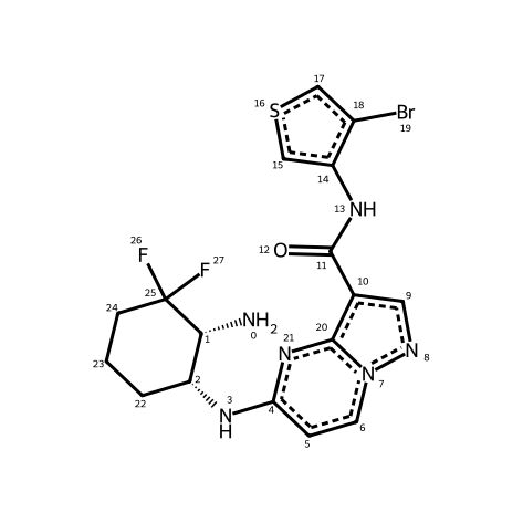 N[C@@H]1[C@H](Nc2ccn3ncc(C(=O)Nc4cscc4Br)c3n2)CCCC1(F)F